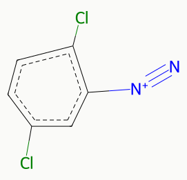 N#[N+]c1cc(Cl)ccc1Cl